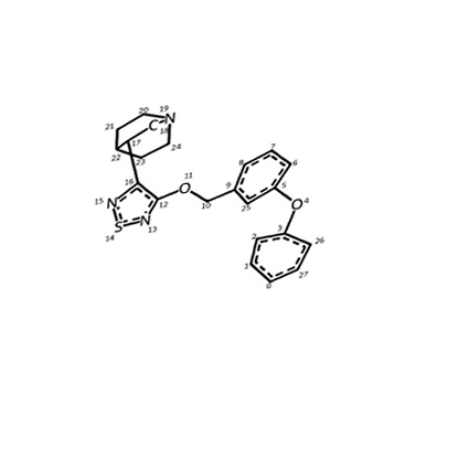 c1ccc(Oc2cccc(COc3nsnc3C3CN4CCC3CC4)c2)cc1